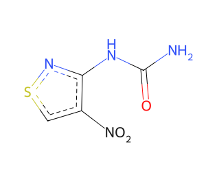 NC(=O)Nc1nscc1[N+](=O)[O-]